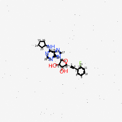 O[C@@H]1[C@H](O)[C@@H](C#Cc2ccccc2F)O[C@H]1n1cnc2c(NC3CCCC3)ncnc21